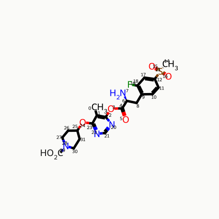 Cc1c(OC(=O)[C@@H](N)Cc2ccc(S(C)(=O)=O)cc2F)ncnc1OC1CCN(C(=O)O)CC1